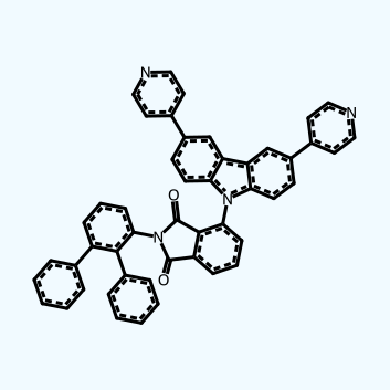 O=C1c2cccc(-n3c4ccc(-c5ccncc5)cc4c4cc(-c5ccncc5)ccc43)c2C(=O)N1c1cccc(-c2ccccc2)c1-c1ccccc1